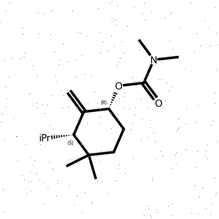 C=C1[C@H](OC(=O)N(C)C)CCC(C)(C)[C@@H]1C(C)C